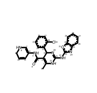 CC1=C(C(=O)NC2=CNCC=C2)C(c2ccccc2Cl)N=C(Nc2nc3ccccc3o2)N1